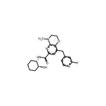 CN1CCOc2c(Cc3ccnc(F)c3)cc(C(=O)N[C@H]3CCCC[C@@H]3O)nc21